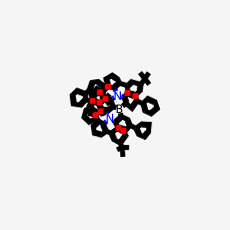 CC(C)(C)c1cccc(-c2cccc(-c3cccc(C(C)(C)C)c3)c2N2c3ccc(-c4ccccc4)cc3B3c4cc(-c5ccccc5)ccc4N(c4c(-c5cccc(C(C)(C)C)c5)cccc4-c4cccc(C(C)(C)C)c4)c4cc(C5(c6ccccc6)c6ccccc6-c6ccccc65)cc2c43)c1